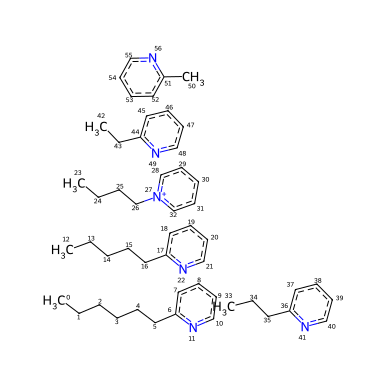 CCCCCCc1ccccn1.CCCCCc1ccccn1.CCCC[n+]1ccccc1.CCCc1ccccn1.CCc1ccccn1.Cc1ccccn1